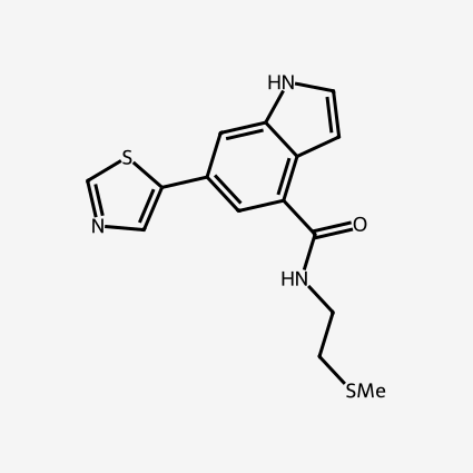 CSCCNC(=O)c1cc(-c2cncs2)cc2[nH]ccc12